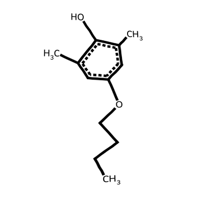 CCCCOc1cc(C)c(O)c(C)c1